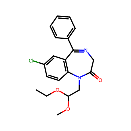 CCOC(CN1C(=O)CN=C(c2ccccc2)c2cc(Cl)ccc21)OC